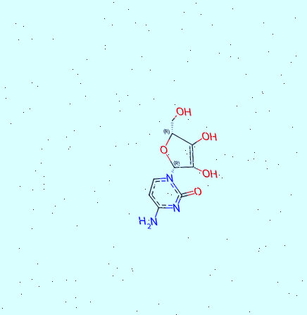 Nc1ccn([C@@H]2O[C@H](CO)C(O)=C2O)c(=O)n1